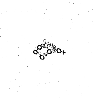 COC(=O)C(Cc1ccc(-c2ccccc2Oc2ccccc2)cc1)NC(=O)c1cc(Br)ccc1NS(=O)(=O)c1ccc(C(C)(C)C)cc1